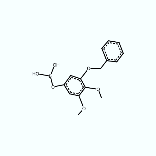 COc1cc(OB(O)O)cc(OCc2ccccc2)c1OC